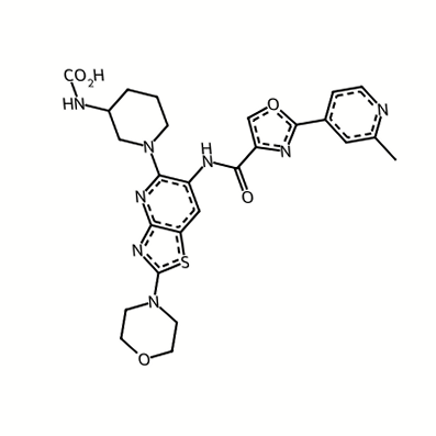 Cc1cc(-c2nc(C(=O)Nc3cc4sc(N5CCOCC5)nc4nc3N3CCCC(NC(=O)O)C3)co2)ccn1